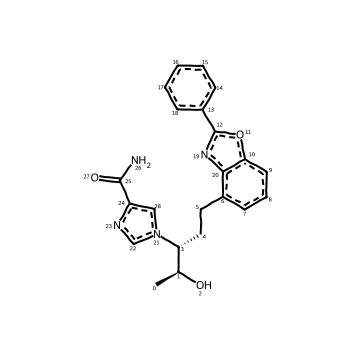 C[C@H](O)[C@@H](CCc1cccc2oc(-c3ccccc3)nc12)n1cnc(C(N)=O)c1